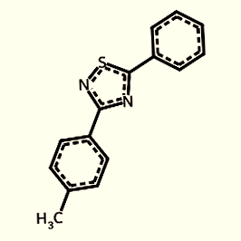 Cc1ccc(-c2nsc(-c3ccccc3)n2)cc1